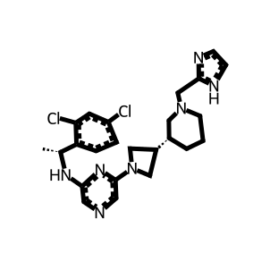 C[C@@H](Nc1cncc(N2CC([C@H]3CCCN(Cc4ncc[nH]4)C3)C2)n1)c1ccc(Cl)cc1Cl